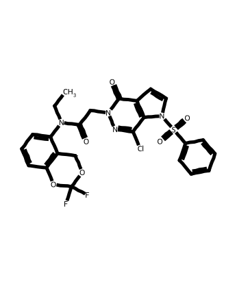 CCN(C(=O)Cn1nc(Cl)c2c(ccn2S(=O)(=O)c2ccccc2)c1=O)c1cccc2c1[CH]OC(F)(F)O2